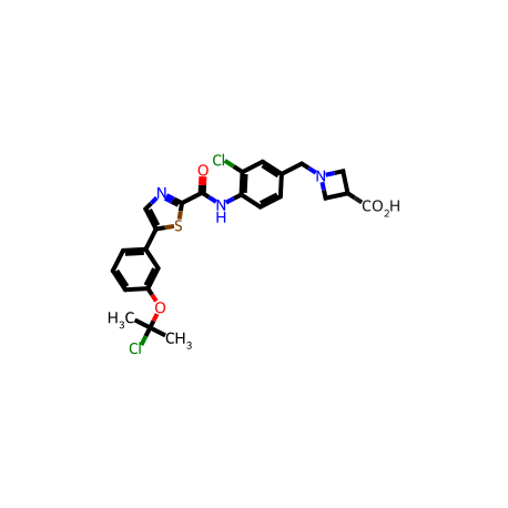 CC(C)(Cl)Oc1cccc(-c2cnc(C(=O)Nc3ccc(CN4CC(C(=O)O)C4)cc3Cl)s2)c1